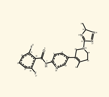 CC1=C(c2ccc(NC(=O)c3c(F)cccc3F)nc2)CN(C2=NC(C)N=N2)CC1